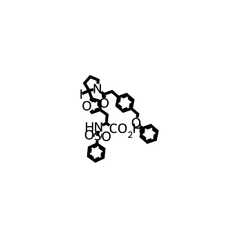 O=C(O)C(Cc1coc(C2(I)CCCN2C(=O)Cc2ccc(COc3ccccc3)cc2)c1)NS(=O)(=O)c1ccccc1